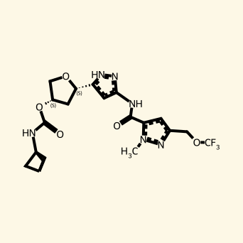 Cn1nc(COC(F)(F)F)cc1C(=O)Nc1cc([C@@H]2C[C@H](OC(=O)NC34CC(C3)C4)CO2)[nH]n1